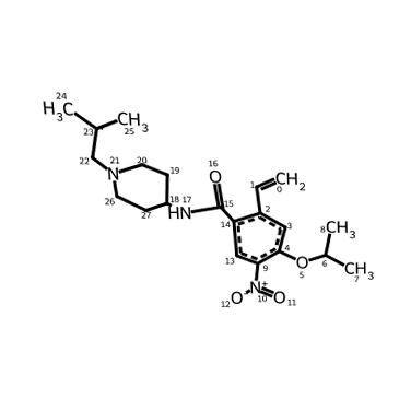 C=Cc1cc(OC(C)C)c([N+](=O)[O-])cc1C(=O)NC1CCN(C[C](C)C)CC1